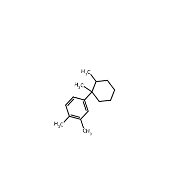 Cc1ccc(C2(C)CCCCC2C)cc1C